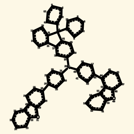 c1ccc(C2(c3ccccc3)c3ccccc3-c3cc(N(c4ccc(-c5ccc6c(c5)oc5ccccc56)cc4)c4ccc(-c5cccc6oc7ccccc7c56)cc4)ccc32)cc1